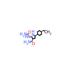 C=Cc1ccc(-c2cc(C(N)=O)c(NC(N)=O)[nH]2)cc1